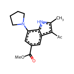 COC(=O)c1cc(N2CCCC2)c2[nH]c(C)c(C(C)=O)c2c1